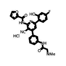 CNCC(=O)Nc1cccc(-c2cc(-c3ccc(F)cc3O)nc(NC(=O)c3ccco3)c2C#N)c1.Cl